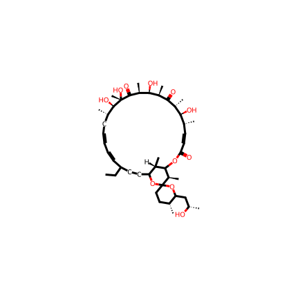 CCC1/C=C\C=C/C[C@H](C)[C@@H](O)[C@](C)(O)C(=O)[C@@H](C)[C@@H](O)[C@@H](C)C(=O)[C@H](C)[C@@H](O)[C@H](C)/C=C\C(=O)OC2[C@@H](C)C(CC1)OC1(CC[C@@H](C)C(C[C@H](C)O)O1)[C@@H]2C